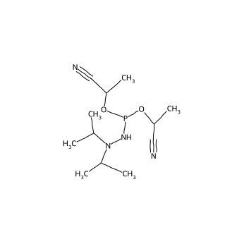 CC(C#N)OP(NN(C(C)C)C(C)C)OC(C)C#N